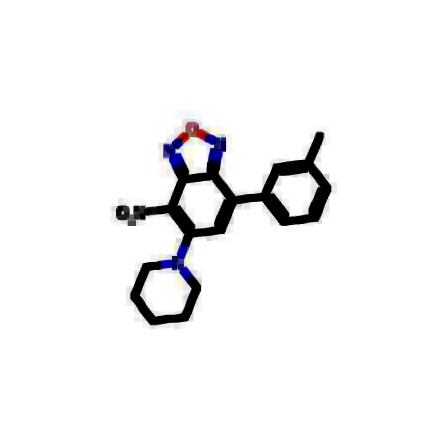 Cc1cccc(-c2cc(N3CCCCC3)c([N+](=O)[O-])c3nonc23)c1